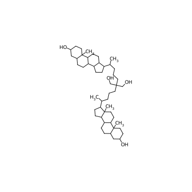 CC(CCCC(CO)(CO)CCCC(C)C1CCC2C3CCC4CC(O)CCC4(C)C3CCC12C)C1CCC2C1CCC1C2CCC2CC(O)CCC21C